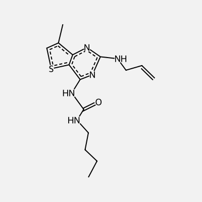 C=CCNc1nc(NC(=O)NCCCC)c2scc(C)c2n1